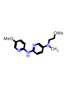 COCCN(C)c1ccc(Nc2ccc(OC)cn2)nc1